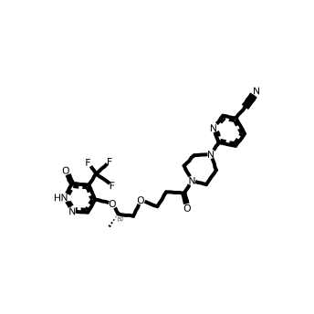 C[C@@H](COCCC(=O)N1CCN(c2ccc(C#N)cn2)CC1)Oc1cn[nH]c(=O)c1C(F)(F)F